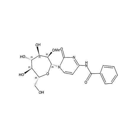 CO[C@@H]1[C@H](O)[C@@H](O)[C@H](O)[C@@H](CO)O[C@H]1n1ccc(NC(=O)c2ccccc2)nc1=O